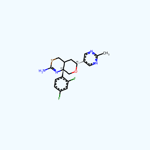 Cc1ncc([C@H]2CC3CSC(N)=N[C@@]3(c3ccc(F)cc3F)CO2)cn1